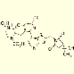 Cc1cc(C(F)(F)F)nc(-c2ccnc3cc(CN4C(=O)C5C(C4=O)C5(C)C)sc23)c1CC1CN(C(=O)O)CCN1C(=O)O